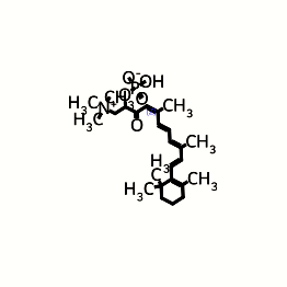 CC(C=CC1=C(C)CCCC1(C)C)=CC=C/C(C)=C\C(=O)C(C[N+](C)(C)C)OP(=O)([O-])O